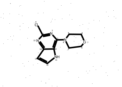 Clc1nc(N2CCOCC2)c2[nH]ccc2n1